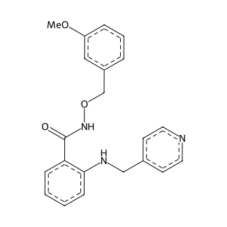 COc1cccc(CONC(=O)c2ccccc2NCc2ccncc2)c1